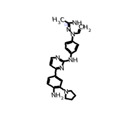 C=CN(/N=C(/C)N)c1ccc(Nc2nccc(-c3ccc(N)c(N4CCCC4)c3)n2)cc1